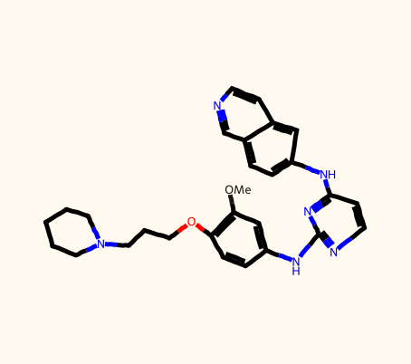 COc1cc(Nc2nccc(Nc3ccc4cnccc4c3)n2)ccc1OCCCN1CCCCC1